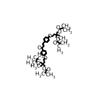 C=C(C)C(=C)OCC(CC)(CCOc1ccc(C(=O)/C=C/c2ccc(OCCC(CC)(COC(=O)C(=C)C)COC(=O)C(=C)C)cc2)cc1)COC(=O)C(=C)C